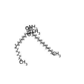 CCCCCCCC/C=C\CCCCCCCCCCC(CC)(C(N)=O)C(=O)CCCCCCCCCCCCCCCCC